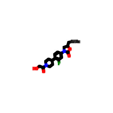 CC(=O)NCC1CN(c2ccc(C3CCN(C(=O)CO)CC3)c(F)c2)C(=O)O1